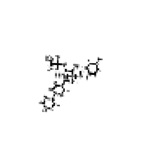 CC(C)(Cc1ccc(F)cc1)NC(=O)[C@H](CC(C)(C)C(=O)O)NC(=O)c1ccc(-c2ccccc2)cc1